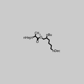 CCCCCCCCCCCCCCC(CCCC)COC(=O)C(C)CCCCCCC